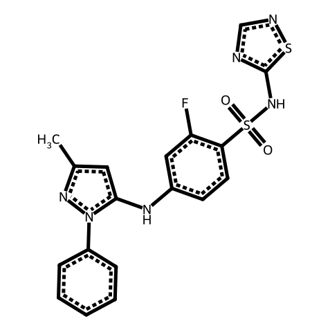 Cc1cc(Nc2ccc(S(=O)(=O)Nc3ncns3)c(F)c2)n(-c2ccccc2)n1